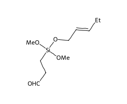 CCC=CCO[Si](CCC=O)(OC)OC